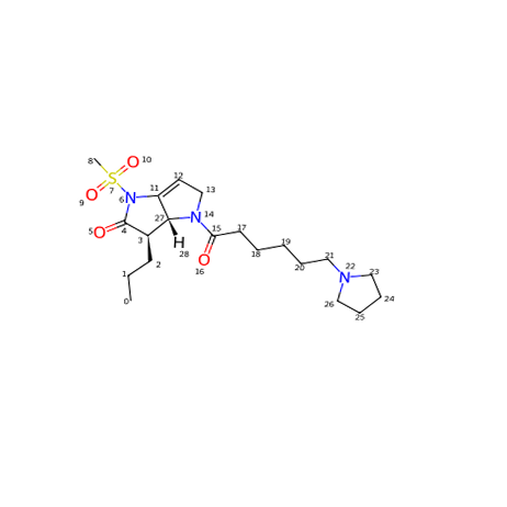 CCC[C@H]1C(=O)N(S(C)(=O)=O)C2=CCN(C(=O)CCCCCN3CCCC3)[C@@H]21